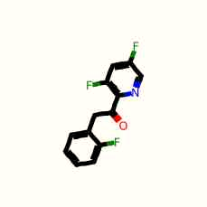 O=C(Cc1ccccc1F)c1ncc(F)cc1F